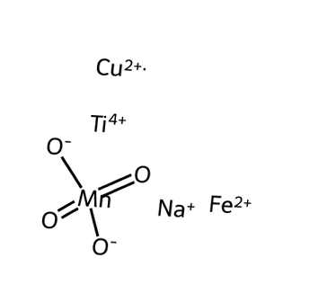 [Cu+2].[Fe+2].[Na+].[O]=[Mn](=[O])([O-])[O-].[Ti+4]